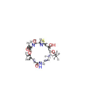 CC1=C\C(O[Si](C)(C)C(C)(C)C)C[C@H](O)Cc2nc(cs2)C(=O)N2CCC[C@@H]2C(=O)O[C@H](C(C)C)[C@H](C)/C=C/C(=O)NC\C=C\1